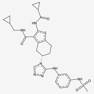 CS(=O)(=O)Nc1cccc(Nc2nncn2[C@H]2CCc3sc(NC(=O)C4CC4)c(C(=O)NCC4CC4)c3C2)c1